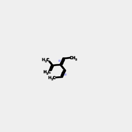 C=C(C)C(/C=C\C)=C/C